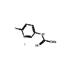 CSC(=N)Nc1ccc(F)cc1.I